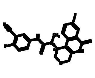 CN(C(=O)Nc1ccc(F)c(C#N)c1)[C@@H]1COCc2[nH]c(=O)c3cc(F)ccc3c21